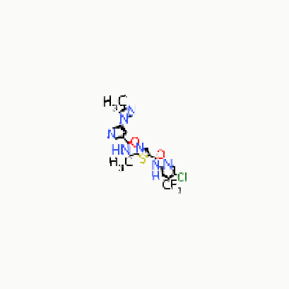 Cc1cn(-c2cncc(C(=O)NC(C)c3ncc(C(=O)Nc4cc(C(F)(F)F)c(Cl)cn4)s3)c2)cn1